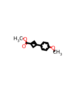 COC(=O)C12CC(c3ccc(OC)cc3)(C1)C2